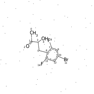 CC(=O)C(O)Cc1c(F)cc(Br)cc1F